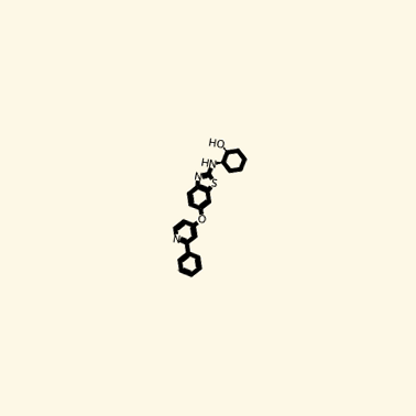 O[C@@H]1CCCC[C@H]1Nc1nc2ccc(Oc3ccnc(-c4c[c]ccc4)c3)cc2s1